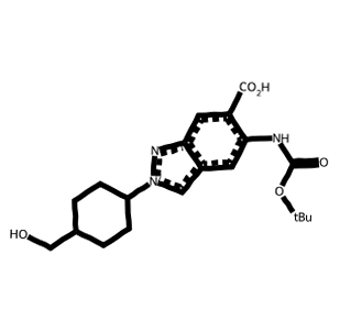 CC(C)(C)OC(=O)Nc1cc2cn(C3CCC(CO)CC3)nc2cc1C(=O)O